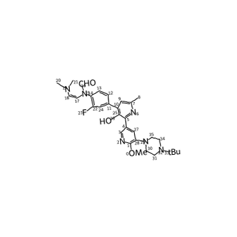 COc1ncc(-c2nc(C)cc(-c3ccc(N(C=O)/C=C\N(C)C)c(F)c3)c2O)cc1N1CCN(C(C)(C)C)CC1